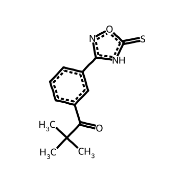 CC(C)(C)C(=O)c1cccc(-c2noc(=S)[nH]2)c1